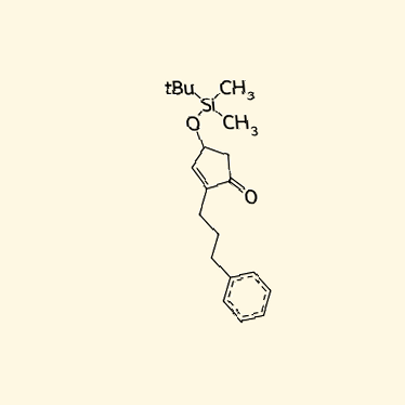 CC(C)(C)[Si](C)(C)OC1C=C(CCCc2ccccc2)C(=O)C1